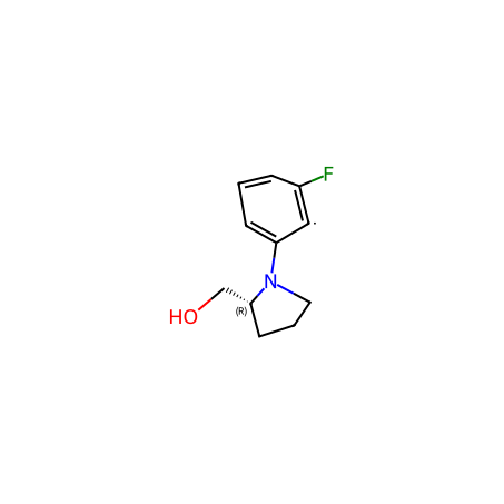 OC[C@H]1CCCN1c1[c]c(F)ccc1